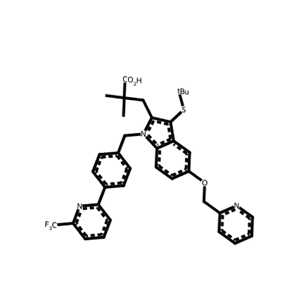 CC(C)(C)Sc1c(CC(C)(C)C(=O)O)n(Cc2ccc(-c3cccc(C(F)(F)F)n3)cc2)c2ccc(OCc3ccccn3)cc12